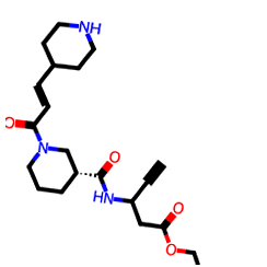 C#CC(CC(=O)OCC)NC(=O)[C@@H]1CCCN(C(=O)/C=C/C2CCNCC2)C1